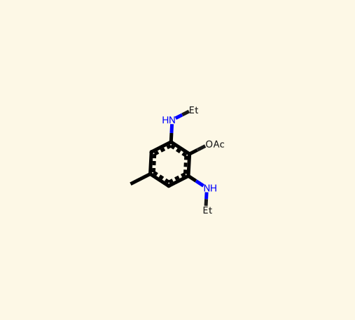 CCNc1cc(C)cc(NCC)c1OC(C)=O